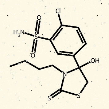 CCCCN1C(=S)SCC1(O)c1ccc(Cl)c(S(N)(=O)=O)c1